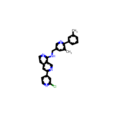 Cc1cccc(-c2ncc(CNc3nccc4cc(-c5ccnc(Cl)c5)ncc34)cc2C)c1